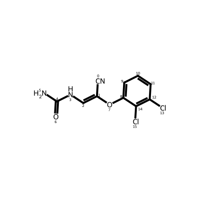 N#C/C(=C\NC(N)=O)Oc1cccc(Cl)c1Cl